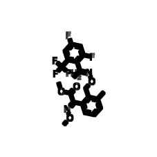 CO/N=C(/C(=O)OC)c1cccc(C)c1CO/N=C(\C)c1c(F)cc(F)cc1C(F)(F)P